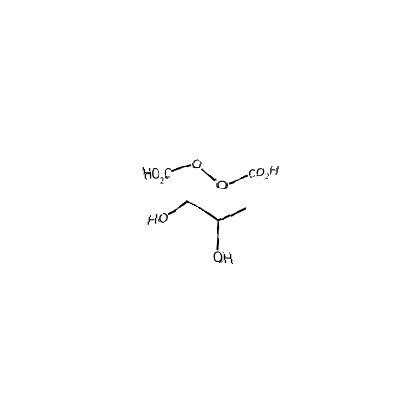 CC(O)CO.O=C(O)OOC(=O)O